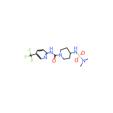 CN(C)S(=O)(=O)NC1CCN(C(=O)Nc2ccc(C(F)(F)F)cn2)CC1